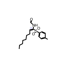 CCCCCCC/C=C(/NC=O)S(=O)(=O)c1ccc(C)cc1